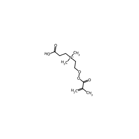 C=C(C)C(=O)OOCC[N+](C)(C)CCC(=O)O